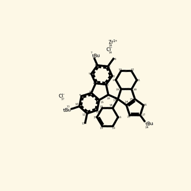 Cc1cc2c(cc1C(C)(C)C)-c1cc(C(C)(C)C)c(C)cc1C2C1(C2CC=CCC2)C2=C(CC(C(C)(C)C)=C2)C2CCCCC21.[Cl-].[Cl-].[Zr+2]